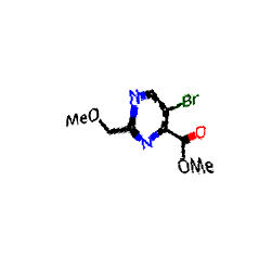 COCc1ncc(Br)c(C(=O)OC)n1